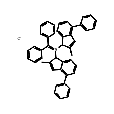 CC1=Cc2c(-c3ccccc3)cccc2[CH]1[Ti+2](=[C](c1ccccc1)c1ccccc1)[CH]1C(C)=Cc2c(-c3ccccc3)cccc21.[Cl-].[Cl-]